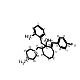 Cc1ccccc1CC1(O)C(=Cc2ccc(F)cc2)CCCCC1CN1CCN(C)CC1